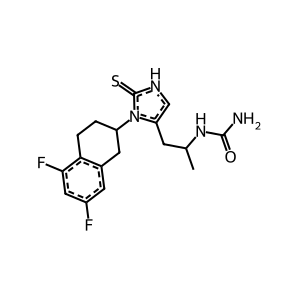 CC(Cc1c[nH]c(=S)n1C1CCc2c(F)cc(F)cc2C1)NC(N)=O